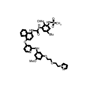 COc1cc(Nc2cc(Oc3ccc(NC(=O)Nc4cc(C(C)(C)C)cc(NS(C)(=O)=O)c4OC)c4ccccc34)ccn2)cc(OCCOCCn2cccn2)c1